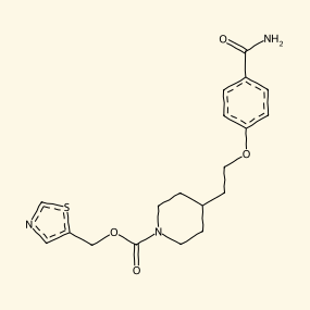 NC(=O)c1ccc(OCCC2CCN(C(=O)OCc3cncs3)CC2)cc1